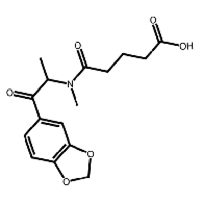 CC(C(=O)c1ccc2c(c1)OCO2)N(C)C(=O)CCCC(=O)O